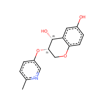 Cc1ccc(O[C@H]2COc3ccc(O)cc3[C@H]2O)cn1